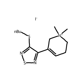 CCCCSc1nsnc1C1=CCC[N+](C)(C)C1.[I-]